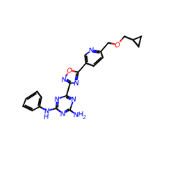 Nc1nc(Nc2ccccc2)nc(-c2noc(-c3ccc(COCC4CC4)nc3)n2)n1